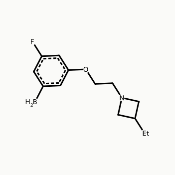 Bc1cc(F)cc(OCCN2CC(CC)C2)c1